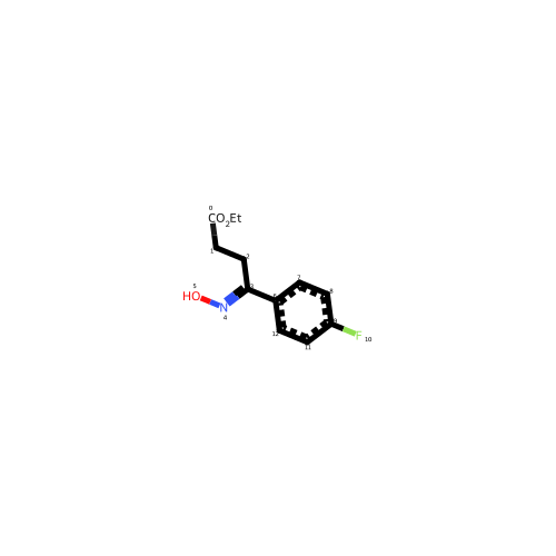 CCOC(=O)CCC(=NO)c1ccc(F)cc1